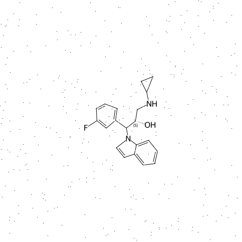 O[C@@H](CNC1CC1)C(c1cccc(F)c1)n1ccc2ccccc21